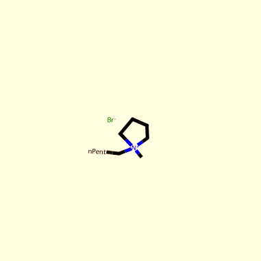 CCCCCC[N+]1(C)CCCC1.[Br-]